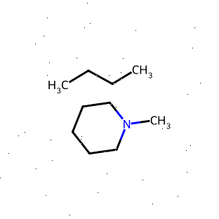 CCCC.CN1CCCCC1